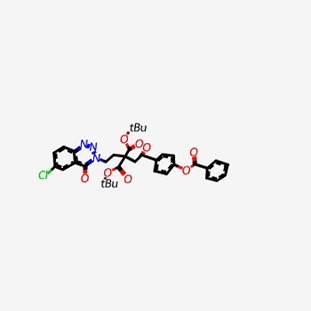 CC(C)(C)OC(=O)C(CCn1nnc2ccc(Cl)cc2c1=O)(CC(=O)c1ccc(OC(=O)c2ccccc2)cc1)C(=O)OC(C)(C)C